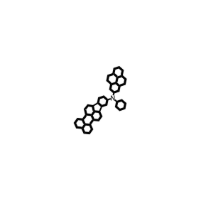 c1ccc(N(c2ccc3c(c2)-c2ccc4c5cccc6cccc(c7ccc-3c2c74)c65)c2cc3ccc4cccc5ccc(c2)c3c45)cc1